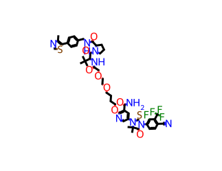 Cc1ncsc1-c1ccc(CNC(=O)C2CCCN2C(=O)C(NC(=O)COCCOCCCCOc2ncc(N3C(=S)N(c4ccc(C#N)c(C(F)(F)F)c4F)C(=O)C3(C)C)cc2C(N)=O)C(C)(C)C)cc1